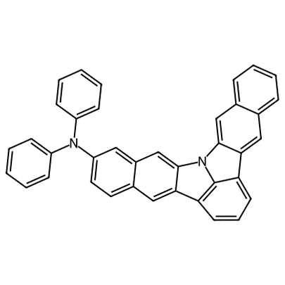 c1ccc(N(c2ccccc2)c2ccc3cc4c5cccc6c7cc8ccccc8cc7n(c4cc3c2)c65)cc1